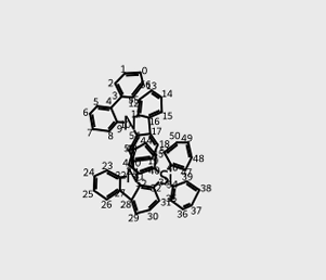 c1ccc(-c2ccccc2-n2c3ccccc3c3ccc(-n4c5ccccc5c5cccc([Si](c6ccccc6)(c6ccccc6)c6ccccc6)c54)cc32)cc1